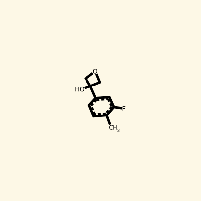 Cc1ccc(C2(O)COC2)cc1F